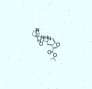 CC(C)OC(=O)c1coc2cnc(C(=O)N[C@H]3CN4CCC3CC4)cc12